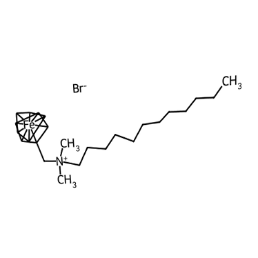 CCCCCCCCCCCC[N+](C)(C)C[C]12[CH]3[CH]4[CH]5[CH]1[Fe]45321678[CH]2[CH]1[CH]6[CH]7[CH]28.[Br-]